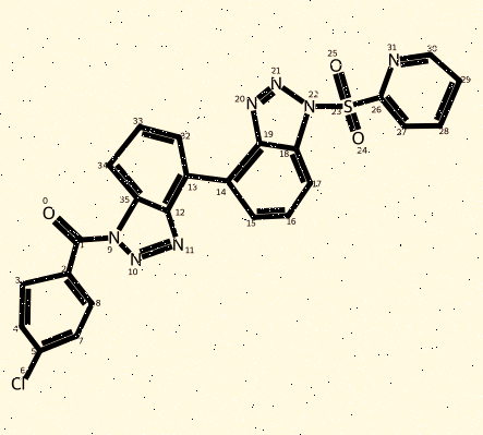 O=C(c1ccc(Cl)cc1)n1nnc2c(-c3cccc4c3nnn4S(=O)(=O)c3ccccn3)cccc21